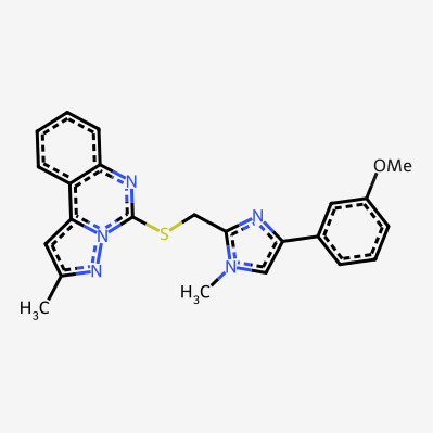 COc1cccc(-c2cn(C)c(CSc3nc4ccccc4c4cc(C)nn34)n2)c1